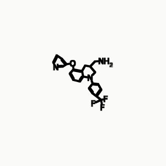 NCC1Cc2c(Oc3cccnc3)cccc2N(c2ccc(C(F)(F)F)cc2)C1